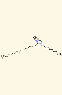 CCCCCCCCCCCCCCCCc1n(CCCCCCCCC)cc[n+]1CC